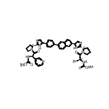 COC(=O)NC(C(=O)N1CCC[C@H]1c1ncc(-c2ccc(-c3ccc4cc(-c5cnc([C@@H]6CCCN6C(=O)[C@@H](NC(=O)OC)C(C)C)[nH]5)ccc4c3)cc2)[nH]1)c1cccnc1